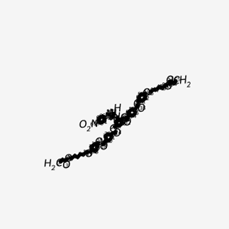 C=CC(=O)OCCCCCCOc1ccc(OC(=O)C2CCC(C(=O)Oc3ccc(OC(=O)C4CCC(C(=O)Oc5ccc(OCCCCCCOC(=O)C=C)cc5)CC4)c(Nc4cn(-c5ccc([N+](=O)[O-])cc5)nn4)c3)CC2)cc1